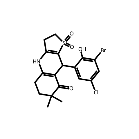 CC1(C)CCC2=C(C1=O)C(c1cc(Cl)cc(Br)c1O)C1=C(CCS1(=O)=O)N2